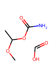 COC(C)OC(N)=O.O=CO